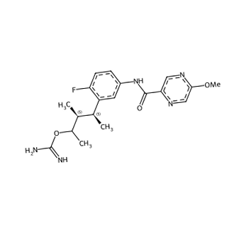 COc1cnc(C(=O)Nc2ccc(F)c([C@@H](C)[C@H](C)C(C)OC(=N)N)c2)cn1